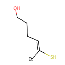 CC/C(S)=C\CCCO